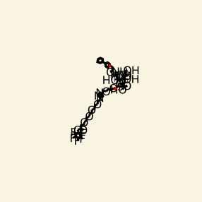 O=C(Cc1ccc(-c2ccccc2)cc1)NC[C@H](O)[C@H](O)[C@H]1O[C@](SCCOCCOCc2cn(CCOCCOCCOCCOCCC(=O)Oc3c(F)c(F)c(F)c(F)c3F)nn2)(C(=O)O)C[C@@H](O)[C@@H]1NC(=O)CO